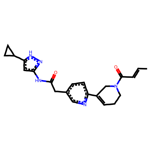 C/C=C/C(=O)N1CCC=C(c2ccc(CC(=O)Nc3cc(C4CC4)[nH]n3)cn2)C1